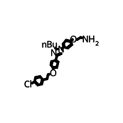 CCCCc1nc(-c2ccc(OCCc3ccc(Cl)cc3)cc2)cn1-c1ccc(OCCN)cc1